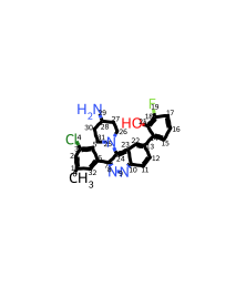 Cc1cc(Cl)cc(-c2nnc3ccc(-c4cccc(F)c4O)cc3c2N2CCC(N)CC2)c1